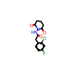 O=C(Cc1ccc(F)cc1Cl)NN1C(=O)CCCC1=O